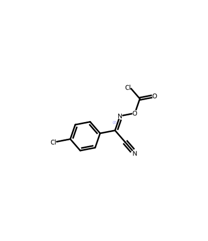 N#C/C(=N\OC(=O)Cl)c1ccc(Cl)cc1